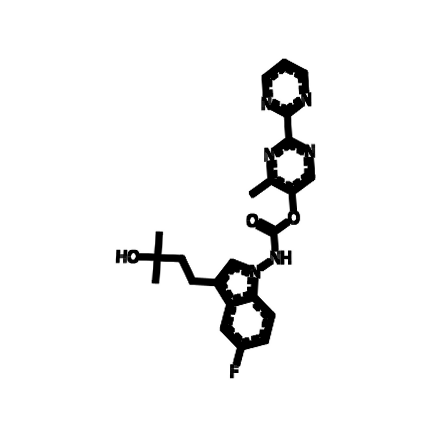 Cc1nc(-c2ncccn2)ncc1OC(=O)Nn1cc(CCC(C)(C)O)c2cc(F)ccc21